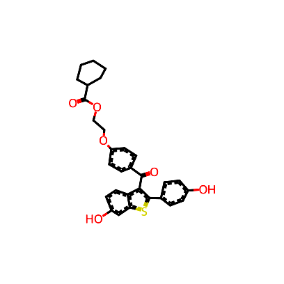 O=C(c1ccc(OCCOC(=O)C2CCCCC2)cc1)c1c(-c2ccc(O)cc2)sc2cc(O)ccc12